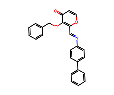 O=c1ccoc(/C=N/c2ccc(-c3ccccc3)cc2)c1OCc1ccccc1